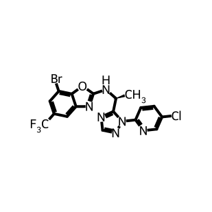 C[C@H](Nc1nc2cc(C(F)(F)F)cc(Br)c2o1)c1ncnn1-c1ccc(Cl)cn1